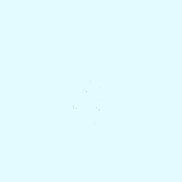 Cc1noc(NS(=O)(=O)c2ccccc2OC(F)(F)F)c1Br